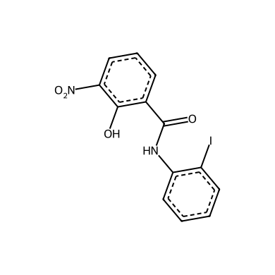 O=C(Nc1ccccc1I)c1cccc([N+](=O)[O-])c1O